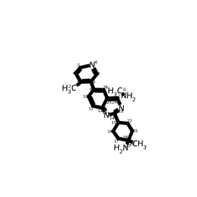 CN.Cc1ccncc1-c1ccc2nc(C3CCC(C)(N)CC3)ncc2c1